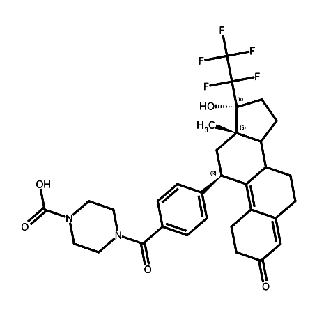 C[C@]12C[C@H](c3ccc(C(=O)N4CCN(C(=O)O)CC4)cc3)C3=C4CCC(=O)C=C4CCC3C1CC[C@]2(O)C(F)(F)C(F)(F)F